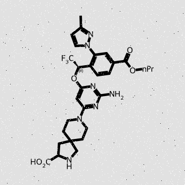 CCCOC(=O)c1ccc([C@@H](Oc2cc(N3CCC4(CC3)CNC(C(=O)O)C4)nc(N)n2)C(F)(F)F)c(-n2ccc(C)n2)c1